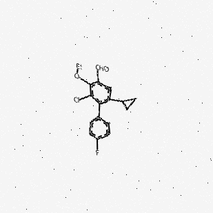 CCOc1c(C=O)cc(C2CC2)c(-c2ccc(F)cc2)c1Cl